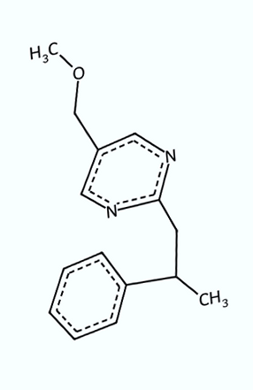 COCc1cnc(CC(C)c2ccccc2)nc1